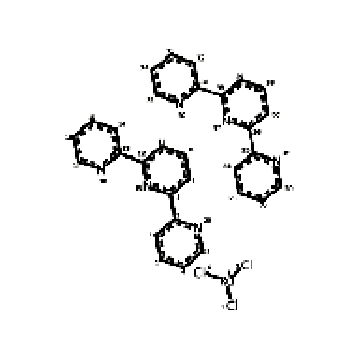 [Cl][Ru]([Cl])[Cl].c1ccc(-c2cccc(-c3ccccn3)n2)nc1.c1ccc(-c2cccc(-c3ccccn3)n2)nc1